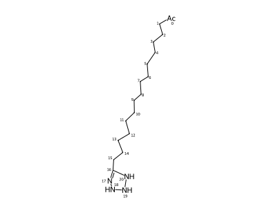 CC(=O)CCCCCCCCCCCCCCCC1=NNNN1